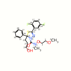 COCCON(C)C(=O)N1N=C(c2cc(F)ccc2F)SC1(CCCO)c1ccccc1